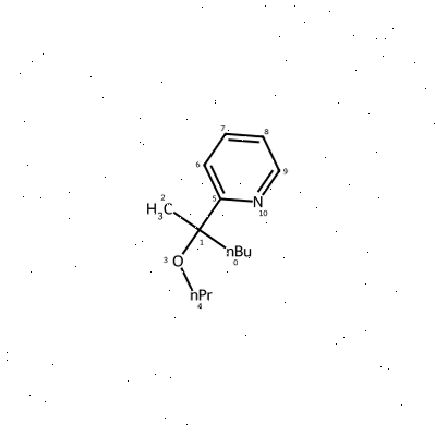 CCCCC(C)(OCCC)c1ccccn1